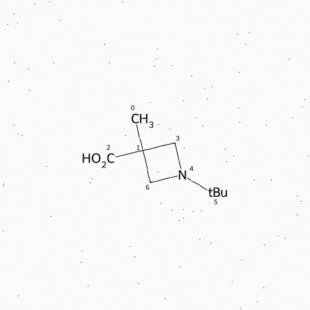 CC1(C(=O)O)CN(C(C)(C)C)C1